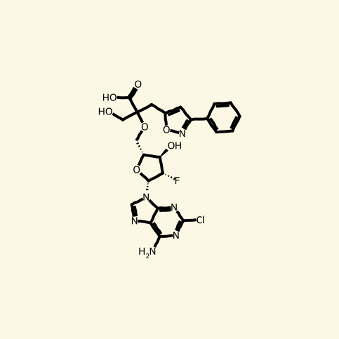 Nc1nc(Cl)nc2c1ncn2[C@@H]1O[C@H](COC(CO)(Cc2cc(-c3ccccc3)no2)C(=O)O)[C@@H](O)[C@@H]1F